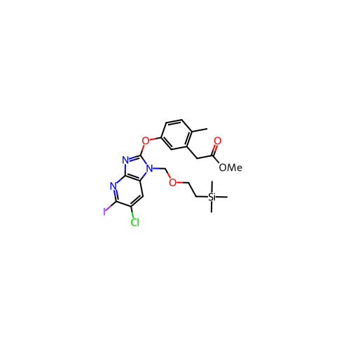 COC(=O)Cc1cc(Oc2nc3nc(I)c(Cl)cc3n2COCC[Si](C)(C)C)ccc1C